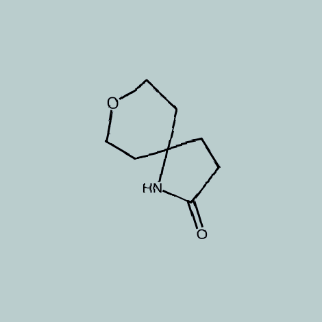 O=C1CCC2(CCOCC2)N1